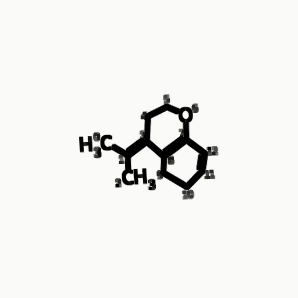 CC(C)=C1CCOC2=C1CCC=C2